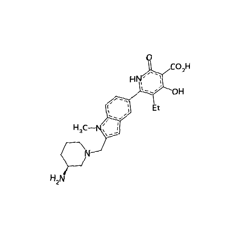 CCc1c(-c2ccc3c(c2)cc(CN2CCC[C@H](N)C2)n3C)[nH]c(=O)c(C(=O)O)c1O